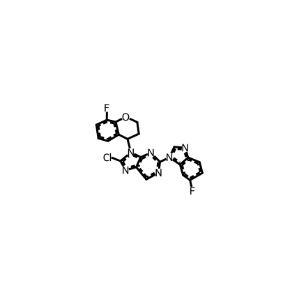 Fc1ccc2ncn(-c3ncc4nc(Cl)n(C5CCOc6c(F)cccc65)c4n3)c2c1